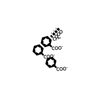 O=C([O-])c1ccccc1.O=C([O-])c1ccccc1.O=C([O-])c1ccccc1.[CH3][Cr+3].[C]=O.[C]=O.[C]=O